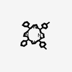 Cc1ccc(C2=C3C=CC(=N3)C(c3ccc(C)cc3)=C3C=CC(=N3)C(c3ccccc3)=C3C=CC(=N3)C(c3ccccc3)=C3C=CC2=N3)cc1